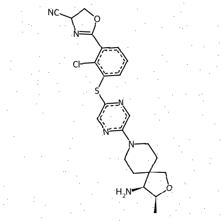 C[C@@H]1OCC2(CCN(c3cnc(Sc4cccc(C5=NC(C#N)CO5)c4Cl)cn3)CC2)[C@@H]1N